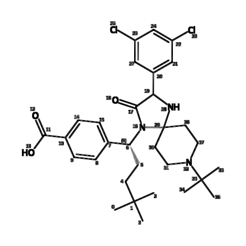 CC(C)(C)CC[C@H](c1ccc(C(=O)O)cc1)N1C(=O)C(c2cc(Cl)cc(Cl)c2)NC12CCN(C(C)(C)C)CC2